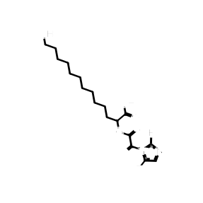 CCCCCCCCCCCCC(OC(=S)C(=O)n1c(F)cnc1F)C(=O)O